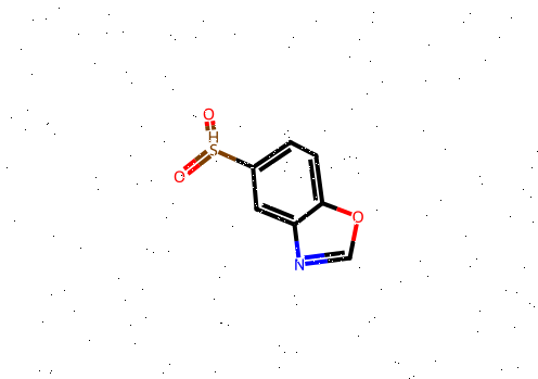 O=[SH](=O)c1ccc2ocnc2c1